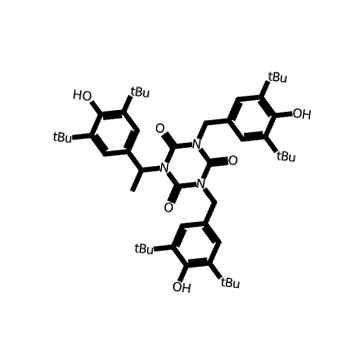 CC(c1cc(C(C)(C)C)c(O)c(C(C)(C)C)c1)n1c(=O)n(Cc2cc(C(C)(C)C)c(O)c(C(C)(C)C)c2)c(=O)n(Cc2cc(C(C)(C)C)c(O)c(C(C)(C)C)c2)c1=O